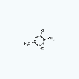 Cc1[c]c(Cl)c(N)cc1.Cl